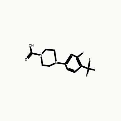 O=C(O)N1CCN(c2ccc(C(F)(F)F)c(F)c2)CC1